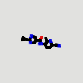 Cc1nc(C#N)ccc1NC(=O)c1cnc(C2CC2)nc1